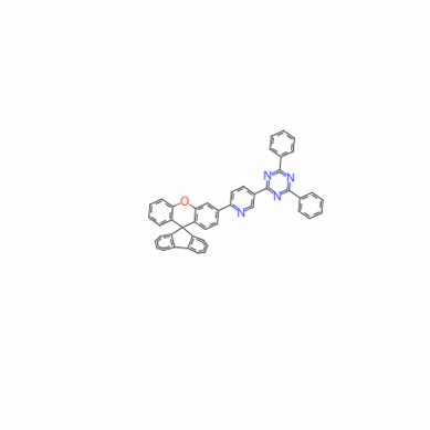 c1ccc(-c2nc(-c3ccccc3)nc(-c3ccc(-c4ccc5c(c4)Oc4ccccc4C54c5ccccc5-c5ccccc54)nc3)n2)cc1